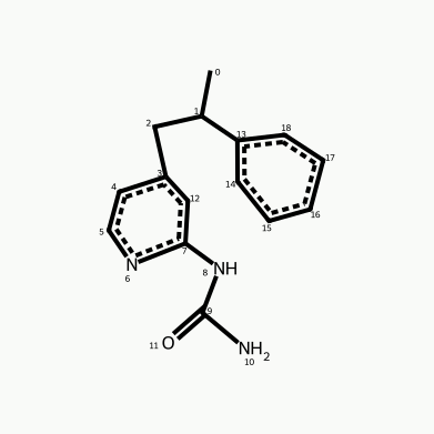 CC(Cc1ccnc(NC(N)=O)c1)c1ccccc1